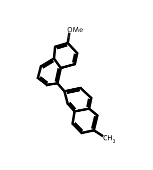 COc1ccc2c(-c3ccc4cc(C)ccc4c3)[c]ccc2c1